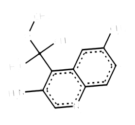 COC(C)(C)c1c(N)cnc2ccc(C)cc12